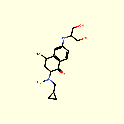 CC1CC(N(C)CC2CC2)C(=O)c2ccc(NC(CO)CO)cc21